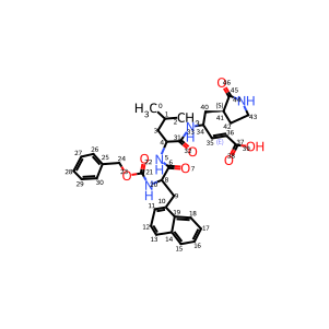 CC(C)CC(NC(=O)C(Cc1cccc2ccccc12)NC(=O)OCc1ccccc1)C(=O)NC(/C=C/C(=O)O)C[C@@H]1CCNC1=O